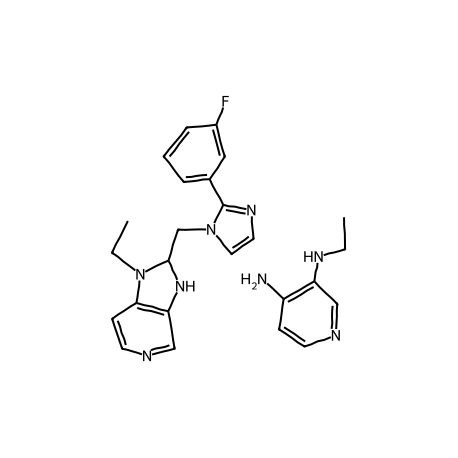 CCN1c2ccncc2NC1Cn1ccnc1-c1cccc(F)c1.CCNc1cnccc1N